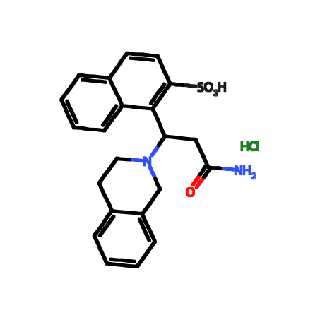 Cl.NC(=O)CC(c1c(S(=O)(=O)O)ccc2ccccc12)N1CCc2ccccc2C1